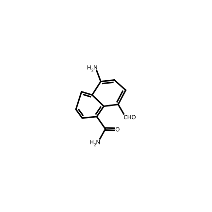 NC(=O)c1cccc2c(N)ccc(C=O)c12